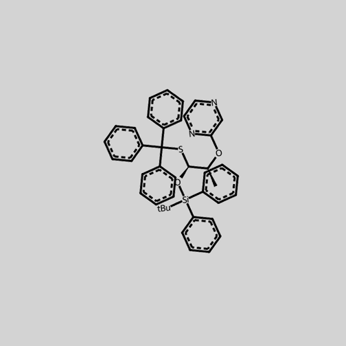 C[C@H](Oc1cnccn1)[C@@H](O[Si](c1ccccc1)(c1ccccc1)C(C)(C)C)SC(c1ccccc1)(c1ccccc1)c1ccccc1